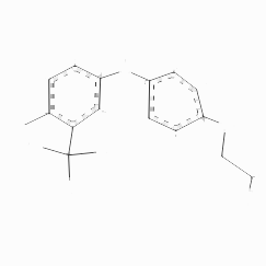 Oc1ccc(Oc2ccc(OCCCl)cc2)cc1C(F)(F)F